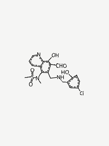 CN(c1c(CNCc2cc(Cl)ccc2O)c(C=O)c(O)c2ncccc12)S(C)(=O)=O